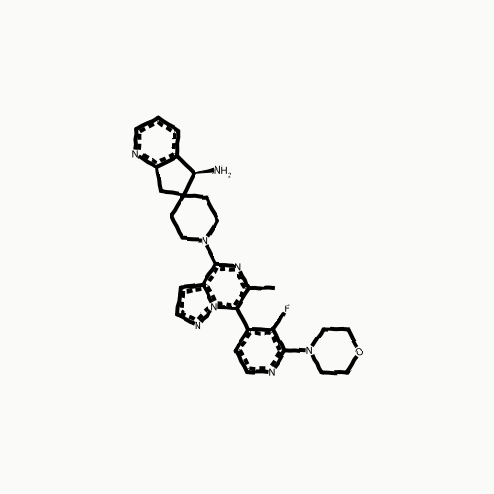 Cc1nc(N2CCC3(CC2)Cc2ncccc2[C@H]3N)c2ccnn2c1-c1ccnc(N2CCOCC2)c1F